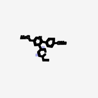 C=CC(C)/C=C\C(=C/C)c1cc(COC)cnc1-c1ccc(OC)cc1